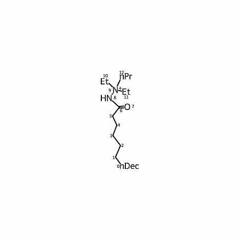 CCCCCCCCCCCCCCCC(=O)N[N+](CC)(CC)CCC